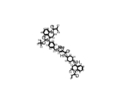 CCC(=O)N1c2ccccc2[C@H](NC2CCC(NC(=O)c3cn(Cc4ccc(N(C(=O)OC(C)(C)C)[C@@H]5CCN(C(=O)C(C)C)c6ccccc65)cc4)nn3)CC2)C[C@@H]1C